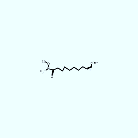 CCCCCCCC/C=C\CCCCCCCC(=O)N(C)OCC